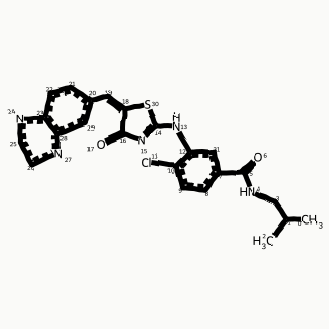 CC(C)CNC(=O)c1ccc(Cl)c(NC2=NC(=O)C(=Cc3ccc4nccnc4c3)S2)c1